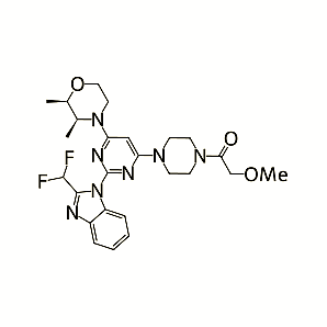 COCC(=O)N1CCN(c2cc(N3CCO[C@H](C)[C@@H]3C)nc(-n3c(C(F)F)nc4ccccc43)n2)CC1